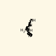 CNCCCn1cc(-c2ccc(N)c(NCc3ccc4ncccc4c3)n2)cn1